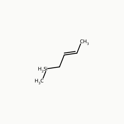 CC=CC[SiH2]C